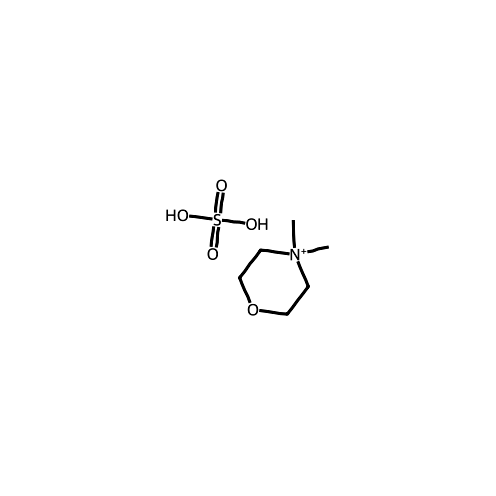 C[N+]1(C)CCOCC1.O=S(=O)(O)O